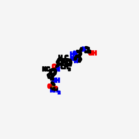 Cc1c(Nc2nccc3cc(CN4CC[C@@H](O)C4)cnc23)cccc1-c1cccc(-c2nc3cc4c(c(C#N)c3o2)CC[C@H]4NCCS(N)(=O)=O)c1C